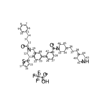 O=C(CCCc1ccccc1)N(CCc1cccs1)Cc1cccc(-c2cccc(C(=O)N3CCC(CCCC4CCNCC4)CC3)c2)c1.O=C(O)C(F)(F)F